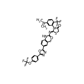 CN(C)c1ccc(C(F)(F)F)c(N2C(=O)CS/C2=N\C(=O)Nc2ccc(-c3nnc(-c4ccc(OC(F)(F)F)cc4)o3)cc2F)c1